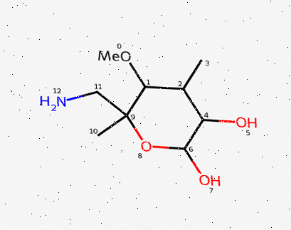 COC1C(C)C(O)C(O)OC1(C)CN